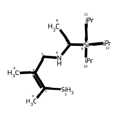 CC([SiH3])=C(C)CNC(C)[Si](C(C)C)(C(C)C)C(C)C